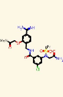 CCCS(=O)(=O)N(CC(N)=O)c1cc(Cl)cc(C(=O)NCc2ccc(C(=N)N)cc2OCC(=O)NC)c1